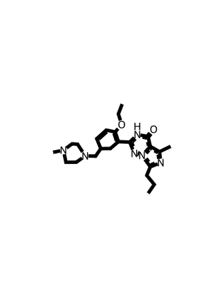 CCCc1nc(C)c2c(=O)[nH]c(C3=C(OCC)C=CC(CN4CCN(C)CC4)C3)nn12